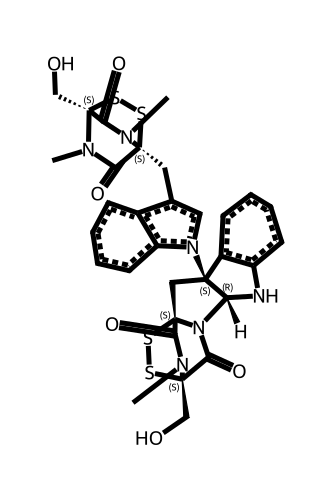 CN1C(=O)[C@]2(Cc3cn([C@]45C[C@@]67SS[C@@](CO)(C(=O)N6[C@H]4Nc4ccccc45)N(C)C7=O)c4ccccc34)SS[C@@]1(CO)C(=O)N2C